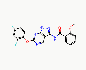 COc1ccccc1C(=O)Nc1n[nH]c2nc(Oc3ccc(F)cc3F)ncc12